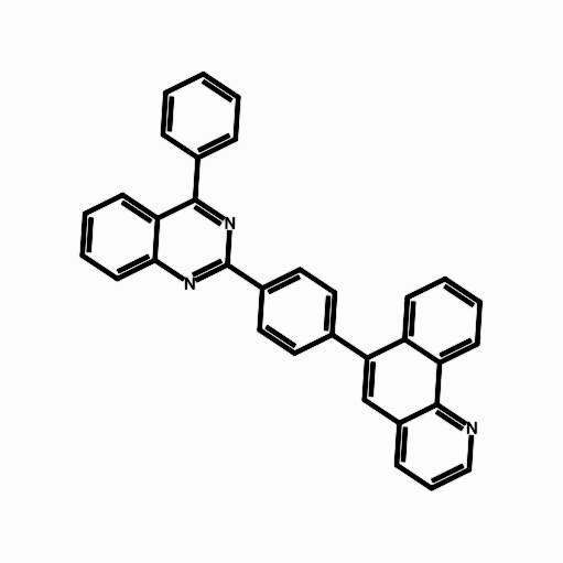 c1ccc(-c2nc(-c3ccc(-c4cc5cccnc5c5ccccc45)cc3)nc3ccccc23)cc1